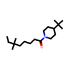 CCC(C)(C)CCCCC(=O)N1CCC(C(C)(C)C)CC1